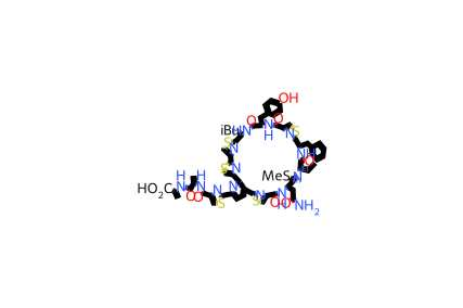 C=C(NC(=O)C(=C)NC(=O)c1csc(-c2ccc3c(n2)-c2csc(n2)-c2csc(n2)C(C(C)CC)NC(=O)C(Cc2ccc(O)cc2)NC(=O)c2csc(n2)C(Cc2ccccc2)NC(=O)C(=C\C)/N=C(\SC)C(CC(N)=O)NC(=O)c2csc-3n2)n1)C(=O)O